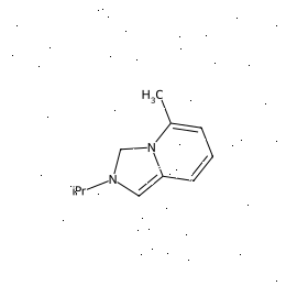 CC1=CC=CC2=CN(C(C)C)CN12